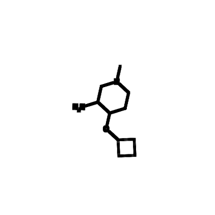 CN1CCC(OC2CCC2)C(N)C1